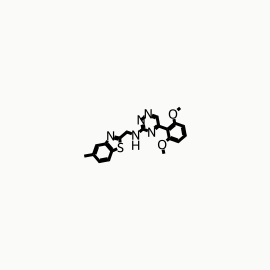 COc1cccc(OC)c1-c1cnnc(NCc2nc3cc(C)ccc3s2)n1